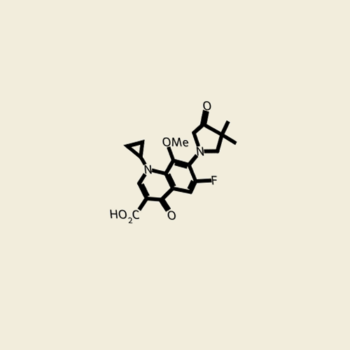 COc1c(N2CC(=O)C(C)(C)C2)c(F)cc2c(=O)c(C(=O)O)cn(C3CC3)c12